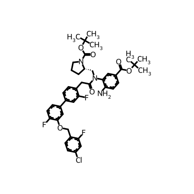 CC(C)(C)OC(=O)c1ccc(N)c(N(C[C@@H]2CCCN2C(=O)OC(C)(C)C)C(=O)Cc2ccc(-c3ccc(F)c(OCc4ccc(Cl)cc4F)c3)cc2F)c1